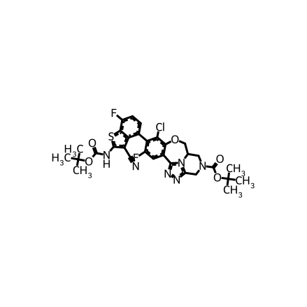 CC(C)(C)OC(=O)Nc1sc2c(F)ccc(-c3c(F)cc4c(c3Cl)OCC3CN(C(=O)OC(C)(C)C)Cc5nnc-4n53)c2c1C#N